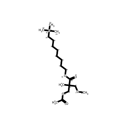 COCC(C)(COC(C)=O)C(=O)OCCCCCCCC[N+](C)(C)C